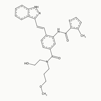 COCCCN(CCO)C(=O)c1ccc(C=Cc2n[nH]c3ccccc23)c(NC(=O)c2sccc2C)c1